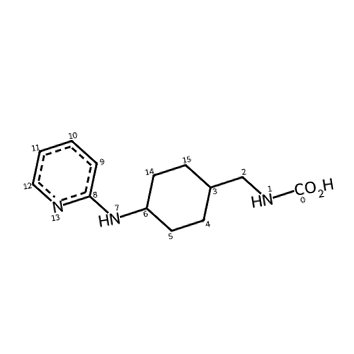 O=C(O)NCC1CCC(Nc2ccccn2)CC1